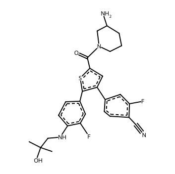 CC(C)(O)CNc1ccc(-c2sc(C(=O)N3CCCC(N)C3)cc2-c2ccc(C#N)c(F)c2)cc1F